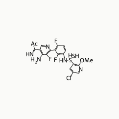 COc1ncc(Cl)cc1[SH](S)Nc1ccc(F)c(-c2ncc(C(=N)C(C)=O)c(N)c2F)c1F